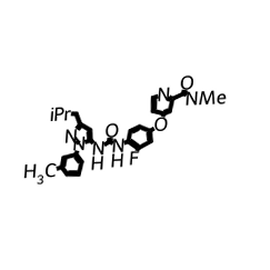 CNC(=O)c1cc(Oc2ccc(NC(=O)Nc3cc(CC(C)C)nn3-c3cccc(C)c3)c(F)c2)ccn1